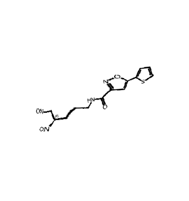 O=NC[C@@H](CCCNC(=O)c1cc(-c2cccs2)on1)N=O